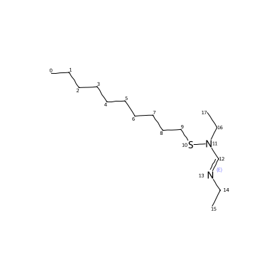 CCCCCCCCCCSN(/C=N/CC)CC